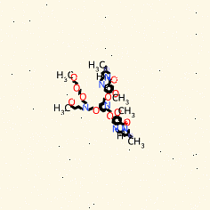 C/C=C1\C[C@H]2C=Nc3cc(OCc4cc(OCCN(CCCC(C)=O)CCOCCOCCOC)cc(COc5cc6c(cc5OC)C(=O)N5C/C(=C/C)C[C@H]5C=N6)n4)c(OC)cc3C(=O)N2C1